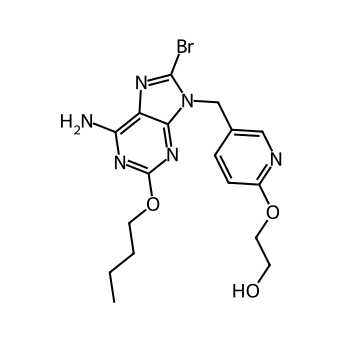 CCCCOc1nc(N)c2nc(Br)n(Cc3ccc(OCCO)nc3)c2n1